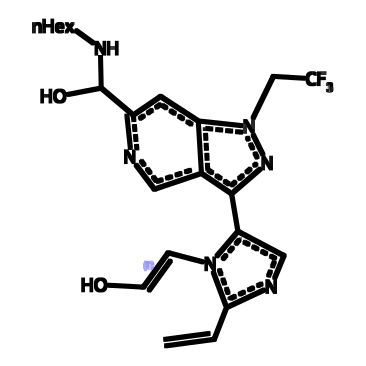 C=Cc1ncc(-c2nn(CC(F)(F)F)c3cc(C(O)NCCCCCC)ncc23)n1/C=C/O